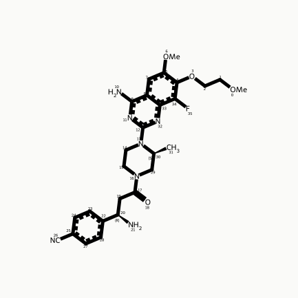 COCCOc1c(OC)cc2c(N)nc(N3CCN(C(=O)C[C@@H](N)c4ccc(C#N)cc4)C[C@@H]3C)nc2c1F